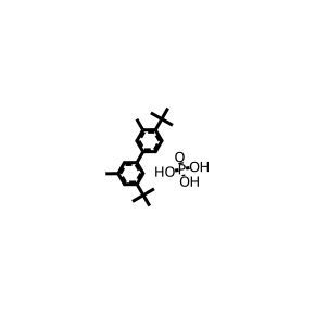 Cc1cc(-c2ccc(C(C)(C)C)c(C)c2)cc(C(C)(C)C)c1.O=P(O)(O)O